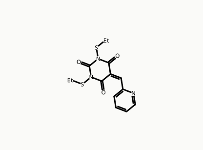 CCSN1C(=O)C(=Cc2ccccn2)C(=O)N(SCC)C1=O